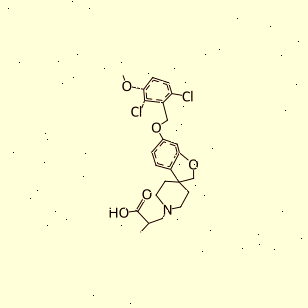 COc1ccc(Cl)c(COc2ccc3c(c2)OCC32CCN(CC(C)C(=O)O)CC2)c1Cl